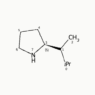 CC(C)C(C)[C@@H]1CCCN1